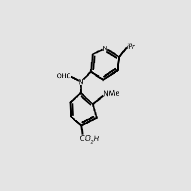 CNc1cc(C(=O)O)ccc1N(C=O)c1ccc(C(C)C)nc1